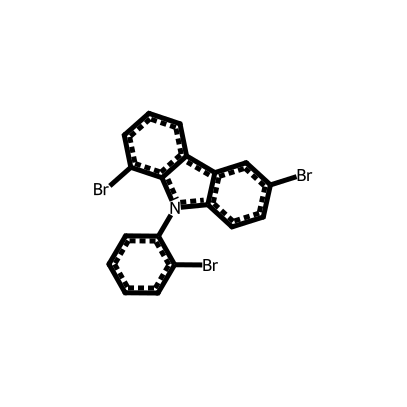 Brc1ccc2c(c1)c1cccc(Br)c1n2-c1ccccc1Br